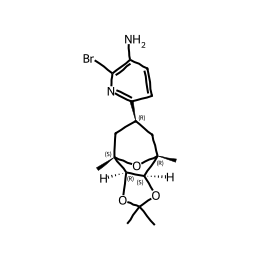 CC1(C)O[C@@H]2[C@H](O1)[C@@]1(C)C[C@H](c3ccc(N)c(Br)n3)C[C@]2(C)O1